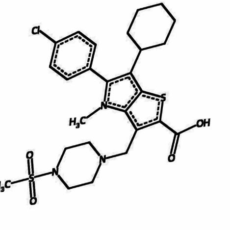 Cn1c(-c2ccc(Cl)cc2)c(C2CCCCC2)c2sc(C(=O)O)c(CN3CCN(S(C)(=O)=O)CC3)c21